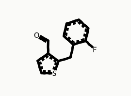 O=Cc1ccsc1Cc1ccccc1F